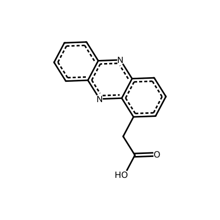 O=C(O)Cc1cccc2nc3ccccc3nc12